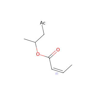 C/C=C\C(=O)OC(C)CC(C)=O